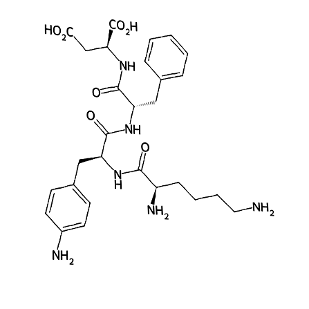 NCCCC[C@@H](N)C(=O)N[C@@H](Cc1ccc(N)cc1)C(=O)N[C@@H](Cc1ccccc1)C(=O)N[C@@H](CC(=O)O)C(=O)O